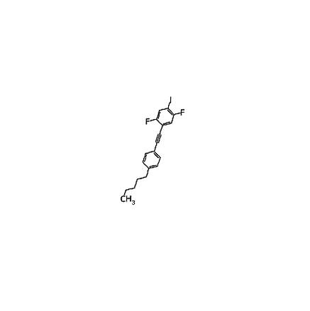 CCCCCc1ccc(C#Cc2cc(F)c(I)cc2F)cc1